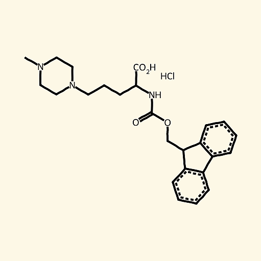 CN1CCN(CCCC(NC(=O)OCC2c3ccccc3-c3ccccc32)C(=O)O)CC1.Cl